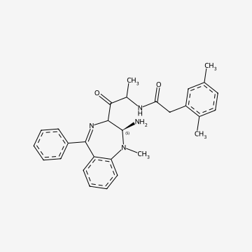 Cc1ccc(C)c(CC(=O)NC(C)C(=O)C2N=C(c3ccccc3)c3ccccc3N(C)[C@@H]2N)c1